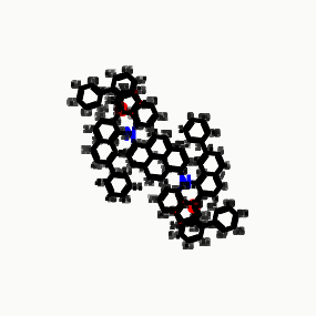 c1ccc(-c2ccc3ccc(-c4ccccc4)c(N(c4ccc5ccc6c(N(c7c(-c8ccccc8)ccc8ccc(-c9ccccc9)cc78)c7cccc8c7oc7c(-c9ccccc9)cccc78)ccc7ccc4c5c76)c4cccc5c4oc4c(-c6ccccc6)cccc45)c3c2)cc1